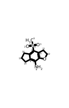 CS(=O)(=O)c1c2c(c(N)c3c1CCO3)CCC2